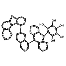 Oc1c(O)c(O)c(-c2c3ccccc3c(-c3cccc4ccc(-c5cccc6oc7ccc8ccccc8c7c56)cc34)c3ccccc23)c(O)c1O